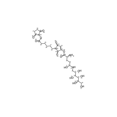 N[C@@H](CCC(O)NC[C@H](O)[C@@H](O)[C@H](O)[C@H](O)CO)C(=O)OC1=CC(=O)N(CCCCCC(=O)ON2C(=O)CCC2=O)C1=O